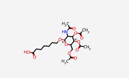 CC(=O)NC1C(OC(C)=O)[C@@H](OC(C)=O)C(COC(C)=O)O[C@H]1OCCCCCCC(=O)O